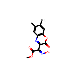 Bc1cc2oc(=O)c(/C(=N\O)C(=O)OC)nc2cc1C